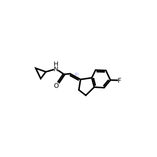 O=C(/C=C1\CCc2cc(F)ccc21)NC1CC1